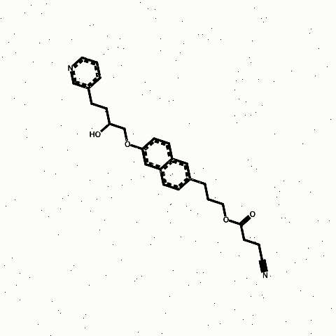 N#CCCC(=O)OCCCc1ccc2cc(OCC(O)CCc3cccnc3)ccc2c1